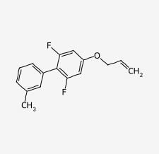 C=CCOc1cc(F)c(-c2cccc(C)c2)c(F)c1